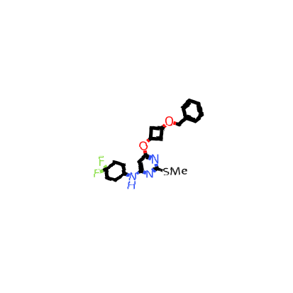 CSc1nc(NC2CCC(F)(F)CC2)cc(OC2CC(OCc3ccccc3)C2)n1